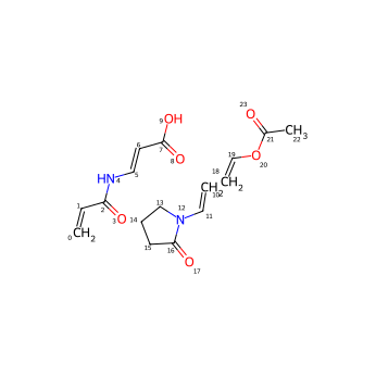 C=CC(=O)NC=CC(=O)O.C=CN1CCCC1=O.C=COC(C)=O